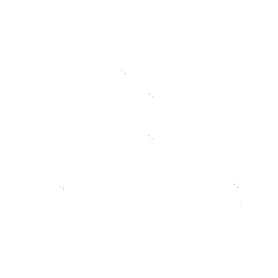 CC(=O)N(C)c1ccc2c(c1)CN(c1ncnc3c(C)cc(-c4cccnc4)cc13)CC2